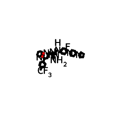 Nc1nc(Nc2ccc(N3CCC(N4CCCC4)CC3)c(F)c2)nn1-c1cc(-c2ccc(C(F)(F)F)cc2)c2c(n1)C1CCN2CC1